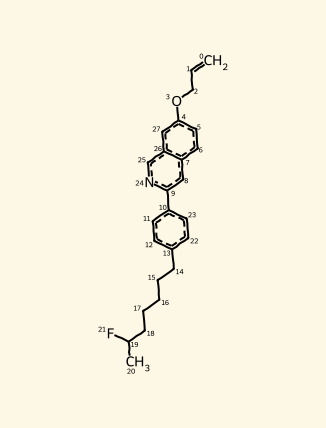 C=CCOc1ccc2cc(-c3ccc(CCCCCC(C)F)cc3)ncc2c1